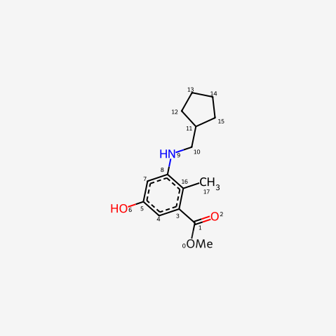 COC(=O)c1cc(O)cc(NCC2CCCC2)c1C